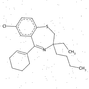 CCCCC1(CC)CSc2ccc(Cl)cc2C(C2=CCCCC2)=N1